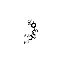 COc1cccc(C(=O)CN2CSC(CCO)=C2C)c1